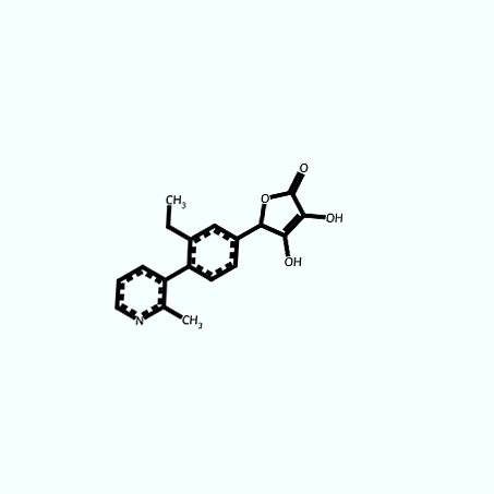 CCc1cc(C2OC(=O)C(O)=C2O)ccc1-c1cccnc1C